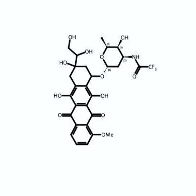 COc1cccc2c1C(=O)c1c(O)c3c(c(O)c1C2=O)CC(O)(C(O)CO)CC3O[C@H]1C[C@H](NC(=O)C(F)(F)F)[C@H](O)[C@H](C)O1